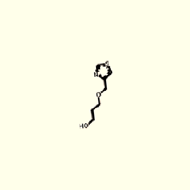 OCCCOCc1cscn1